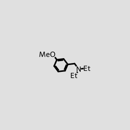 CCN(CC)Cc1cccc(OC)c1